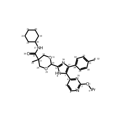 CC(C)Oc1nccc(-c2[nH]c(C3OCC(C)(C(=O)NC4CCCCC4)CO3)nc2-c2ccc(F)cc2)n1